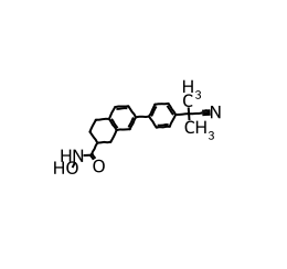 CC(C)(C#N)c1ccc(-c2ccc3c(c2)CC(C(=O)NO)CC3)cc1